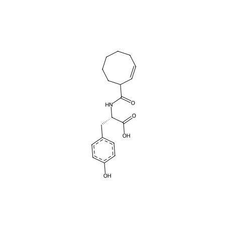 O=C(N[C@@H](Cc1ccc(O)cc1)C(=O)O)C1C=CCCCCC1